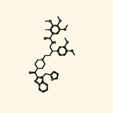 COc1ccc(C(CCN2CCC(C(=O)c3nc4ccccc4n3Cc3ccco3)CC2)CNC(=O)c2cc(OC)c(OC)c(OC)c2C)cc1OC